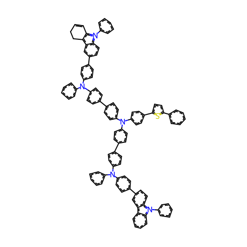 C1=Cc2c(c3cc(-c4ccc(N(c5ccccc5)c5ccc(-c6ccc(N(c7ccc(-c8ccc(N(c9ccccc9)c9ccc(-c%10ccc%11c(c%10)c%10ccccc%10n%11-c%10ccccc%10)cc9)cc8)cc7)c7ccc(-c8ccc(-c9ccccc9)s8)cc7)cc6)cc5)cc4)ccc3n2-c2ccccc2)CC1